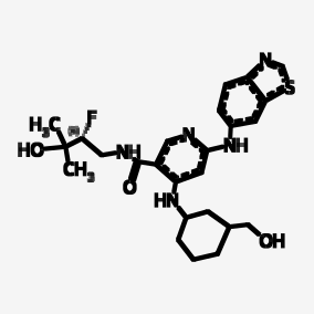 CC(C)(O)[C@H](F)CNC(=O)c1cnc(Nc2ccc3ncsc3c2)cc1NC1CCCC(CO)C1